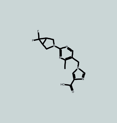 Cc1nc(N2CC3C(C2)C3(F)F)ncc1Cn1cnc(C(=O)O)c1